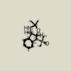 CC1(C)N[C@H]2c3ccccc3[C@H](P(C)(C)=O)[C@H]2O1